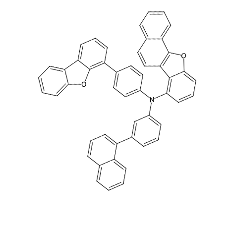 c1cc(-c2cccc3ccccc23)cc(N(c2ccc(-c3cccc4c3oc3ccccc34)cc2)c2cccc3oc4c5ccccc5ccc4c23)c1